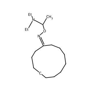 CCN(CC)C(C)ON=C1CCCCCCCCCCC1